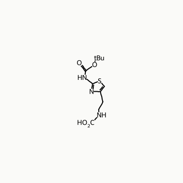 CC(C)(C)OC(=O)Nc1nc(CCNC(=O)O)cs1